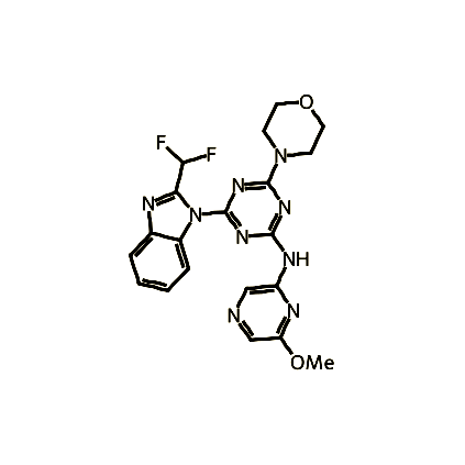 COc1cncc(Nc2nc(N3CCOCC3)nc(-n3c(C(F)F)nc4ccccc43)n2)n1